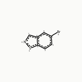 Brc1ccc2sncc2c1